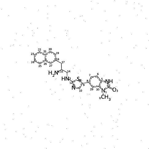 Cn1c(=O)[nH]c2ccc(-c3cnc(NCC(N)Cc4ccc5ccccc5c4)s3)cc21